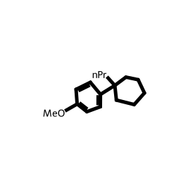 CCCC1(c2ccc(OC)cc2)CCCCC1